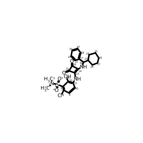 CN(C)S(=O)(=O)c1c(Cl)ccc(Nc2c(NC(c3ccccc3)C3CCCCC3)c(=O)c2=O)c1O